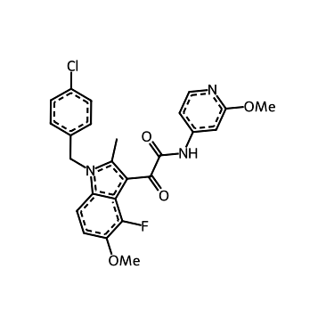 COc1cc(NC(=O)C(=O)c2c(C)n(Cc3ccc(Cl)cc3)c3ccc(OC)c(F)c23)ccn1